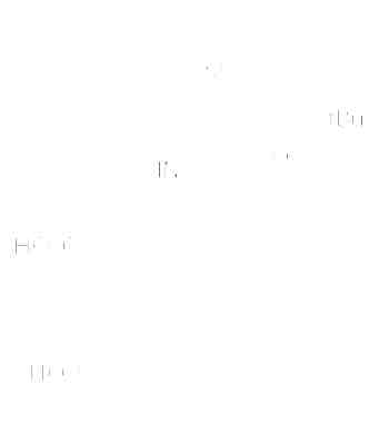 CC(C)(C)OC(=O)N[C]1CCCC(C(=O)O)=C1C(=O)O